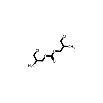 CC(CCl)COC(=O)OCC(C)CCl